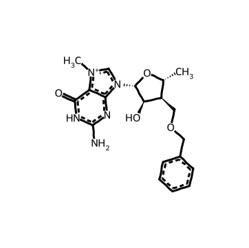 C[C@H]1O[C@@H](n2c[n+](C)c3c(=O)[nH]c(N)nc32)[C@H](O)[C@@H]1COCc1ccccc1